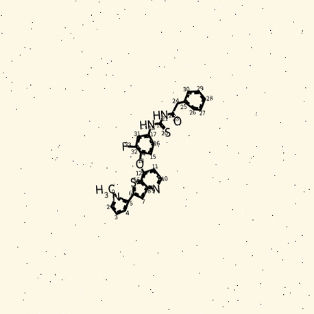 Cn1cccc1-c1cc2nccc(Oc3ccc(NC(=S)NC(=O)Cc4ccccc4)cc3F)c2s1